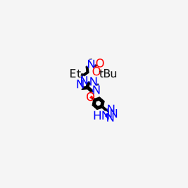 CCC(CCN(C)C(=O)OC(C)(C)C)n1ncc2c(Oc3ccc(-c4nnn[nH]4)cc3)ncnc21